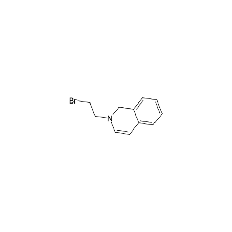 BrCCN1C=Cc2ccccc2C1